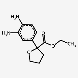 CCOC(=O)C1(c2ccc(N)c(N)c2)CCCO1